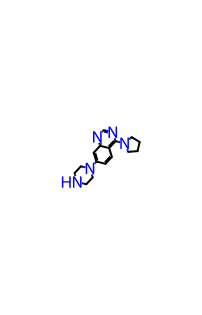 c1nc(N2CCCC2)c2ccc(N3CCNCC3)cc2n1